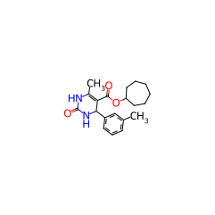 CC1=C(C(=O)OC2CCCCCC2)C(c2cccc(C)c2)NC(=O)N1